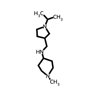 CC(C)N1CCC(CNC2CCN(C)CC2)C1